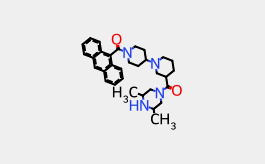 CC1CN(C(=O)C2CCCN(C3CCN(C(=O)c4c5ccccc5cc5ccccc45)CC3)C2)CC(C)N1